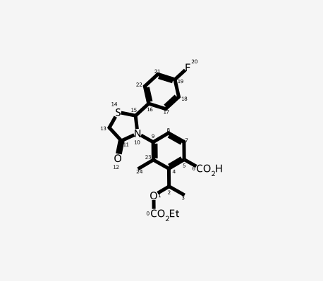 CCOC(=O)OC(C)c1c(C(=O)O)ccc(N2C(=O)CSC2c2ccc(F)cc2)c1C